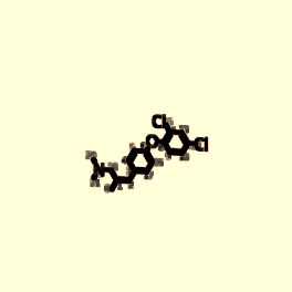 CC(=Cc1ccc(Oc2ccc(Cl)cc2Cl)cc1)CN(C)C